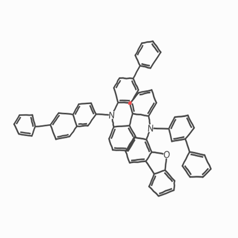 c1ccc(-c2ccc(N(c3ccc4cc(-c5ccccc5)ccc4c3)c3ccccc3-c3ccccc3N(c3cccc(-c4ccccc4)c3)c3cccc4c3oc3ccccc34)cc2)cc1